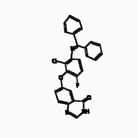 O=c1[nH]cnc2ccc(Oc3c(F)ccc(N=C(c4ccccc4)c4ccccc4)c3Cl)cc12